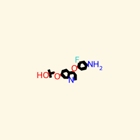 CC(C)(O)COc1ccc2c(Oc3ccc(N)cc3F)ccnc2c1